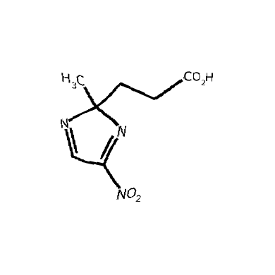 CC1(CCC(=O)O)N=CC([N+](=O)[O-])=N1